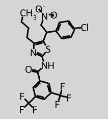 CCCCc1nc(NC(=O)c2cc(C(F)(F)F)cc(C(F)(F)F)c2)sc1C(C[N+](=O)[O-])c1ccc(Cl)cc1